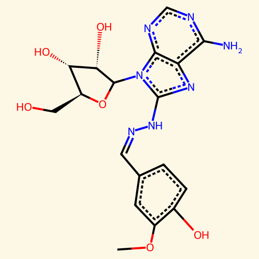 COc1cc(/C=N\Nc2nc3c(N)ncnc3n2C2O[C@@H](CO)[C@H](O)[C@@H]2O)ccc1O